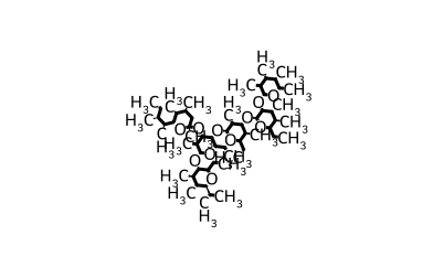 CCC1O[C@@H](C(C)C)C(C)[C@@H](C)[C@@H]1O[C@@H]1OC(CC)[C@H](O[C@@H]2OC(CC)[C@H](C)[C@H](O[C@@H]3OC(CC)[C@H](C)[C@H](C)C3O[C@@H]3OC(C)[C@@H](C)[C@H](C)C3C)C2C)[C@H](O[C@]2(C)C[C@@H](C)[C@@H](C)C([C@H](C)[C@H](C)CC)O2)C1C